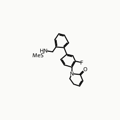 CSNCc1ccccc1-c1ccc(N2CCC=CC2=O)c(F)c1